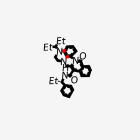 CCC(CC)N1CCN(Cc2c(C(=O)N[C@@H](CC)c3ccccc3)c3ccccc3c(=O)n2-c2ccccc2)CC1